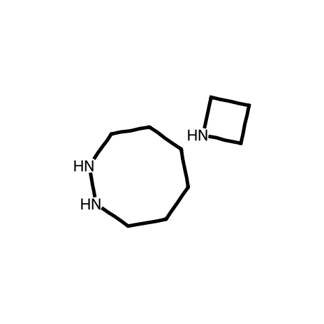 C1CCCNNCC1.C1CNC1